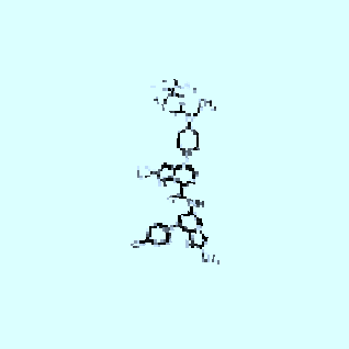 CCN(C(=O)OC(C)(C)C)C1CCN(c2ccc(C(=O)Nc3cc(-n4ccc(=O)cc4)c4nc(C)cn4c3)c3nn(C)cc23)CC1